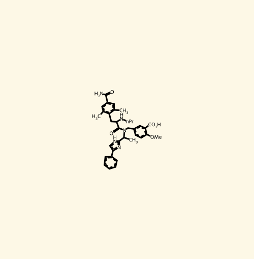 CCCNC(Cc1c(C)cc(C(N)=O)cc1C)C(=O)N(Cc1ccc(OC)c(C(=O)O)c1)C(C)c1nc(-c2ccccc2)c[nH]1